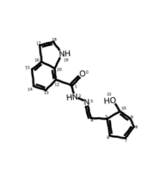 O=C(NN=Cc1ccccc1O)c1cccc2cc[nH]c12